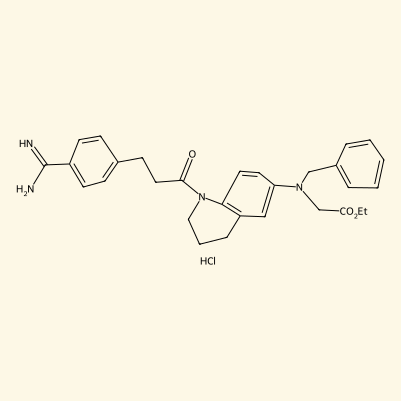 CCOC(=O)CN(Cc1ccccc1)c1ccc2c(c1)CCCN2C(=O)CCc1ccc(C(=N)N)cc1.Cl